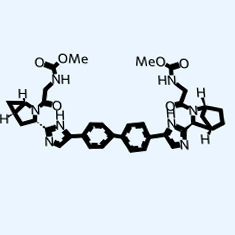 COC(=O)NCC(=O)N1[C@@H]2CC[C@@H](C2)[C@H]1c1ncc(-c2ccc(-c3ccc(-c4cnc([C@@H]5C[C@H]6C[C@H]6N5C(=O)CNC(=O)OC)[nH]4)cc3)cc2)[nH]1